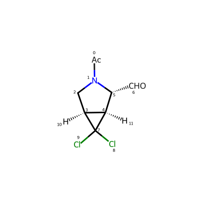 CC(=O)N1C[C@H]2[C@@H]([C@H]1C=O)C2(Cl)Cl